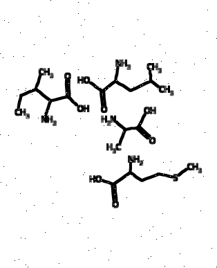 CC(C)CC(N)C(=O)O.CC(N)C(=O)O.CCC(C)C(N)C(=O)O.CSCCC(N)C(=O)O